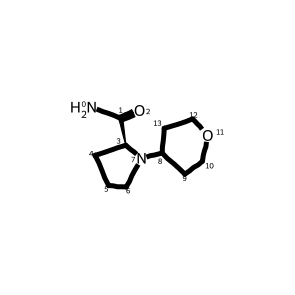 NC(=O)[C@@H]1CCCN1C1CCOCC1